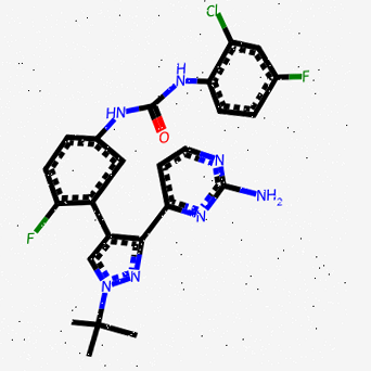 CC(C)(C)n1cc(-c2cc(NC(=O)Nc3ccc(F)cc3Cl)ccc2F)c(-c2ccnc(N)n2)n1